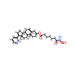 C[C@]12CC[C@H](OC(=O)CCCCCC(=O)NO)CC1=CCC1C2CC[C@]2(C)C(c3cccnc3)=CCC12